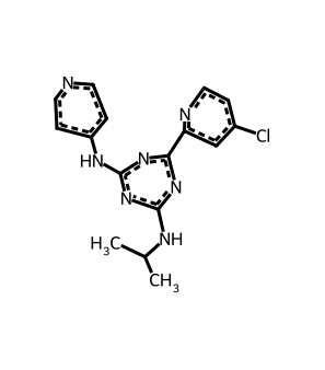 CC(C)Nc1nc(Nc2ccncc2)nc(-c2cc(Cl)ccn2)n1